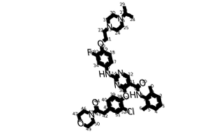 Cc1cccc(C)c1NC(=O)c1cnc(Nc2ccc(OCCN3CCN(C(C)C)CC3)c(F)c2)nc1Oc1ccc(CC(=O)N2CCOCC2)cc1Cl